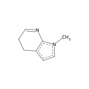 Cn1ccc2c1N=CCC2